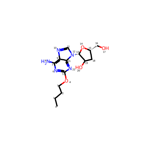 CCCCOc1nc(N)c2ncn([C@@H]3O[C@H](CO)CC3O)c2n1